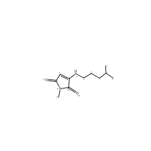 CC(C)CCCNC1=CC(=O)N(C)C1=O